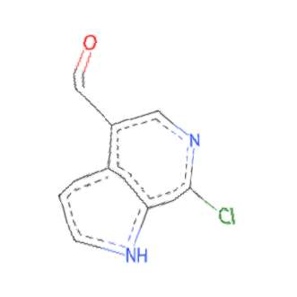 O=Cc1cnc(Cl)c2[nH]ccc12